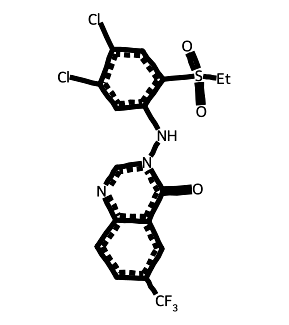 CCS(=O)(=O)c1cc(Cl)c(Cl)cc1Nn1cnc2ccc(C(F)(F)F)cc2c1=O